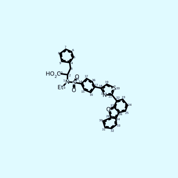 CCN(C(Cc1ccccc1)C(=O)O)S(=O)(=O)c1ccc(-c2csc(-c3cccc4c3oc3ccccc34)n2)cc1